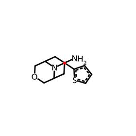 NC1CC2COCC(C1)N2Cc1cccs1